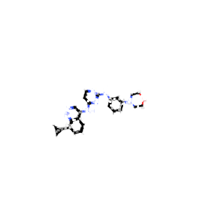 c1cc(Nc2nccc(Nc3cnnc4c(C5CC5)cccc34)n2)cc(N2CCOCC2)c1